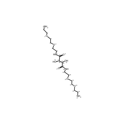 NCCOCCOCCNC(=O)[C@H](O)[C@@H](O)C(=O)NCCOCCOCCN